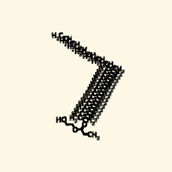 C=C.C=C.C=C.C=C.C=C.C=C.C=C.C=C.C=C.C=C.C=C.C=C.C=C.C=C.C=C.C=C.C=C.C=C.C=C.C=C.C=C.C=C.C=C.C=CC(=O)OCCO